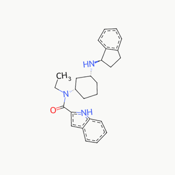 CCN(C(=O)c1cc2ccccc2[nH]1)[C@H]1CCC[C@@H](N[C@@H]2CCc3ccccc32)C1